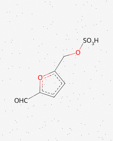 O=Cc1ccc(COS(=O)(=O)O)o1